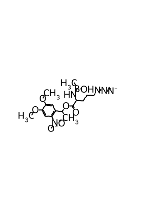 COc1cc(C(C)OC(=O)C(CCCN=[N+]=[N-])NB(C)O)c([N+](=O)[O-])cc1OC